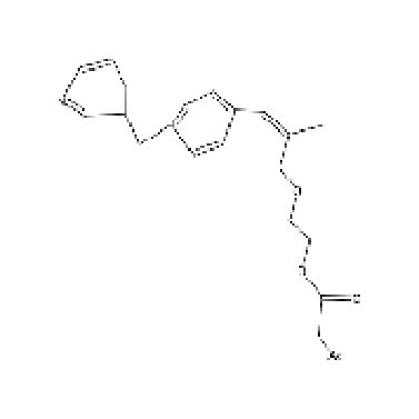 CC(=O)CC(=O)OCCOCC(C)=Cc1ccc(Cc2cccnc2)cc1